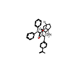 C=C(C)c1ccc(CN(C)C(=O)N2[C@H]3CC[C@@H]2[C@@H](C(=O)O)N(C(=O)N(c2ccccc2)c2ccccc2)C3)cc1